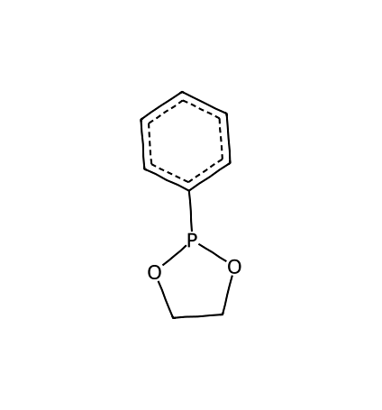 c1ccc(P2OCCO2)cc1